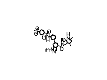 Cc1cc(C)c(CNC(=O)c2cc(-c3cccc(NC(=O)c4ccc(S(C)(=O)=O)cc4Cl)c3)cc3c2cnn3C(C)C)c(=O)[nH]1